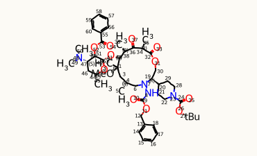 CO[C@]1(C)C[C@@H](C)CN(NC(=O)OCc2ccccc2)[C@H](C2CCN(C(=O)OC(C)(C)C)CC2)COC(=O)[C@H](C)C(=O)[C@H](C)[C@H]1O[C@@H]1O[C@H](C)C[C@H](N(C)C)[C@H]1OC(=O)c1ccccc1